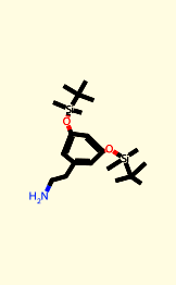 CC(C)(C)[Si](C)(C)Oc1cc(CCN)cc(O[Si](C)(C)C(C)(C)C)c1